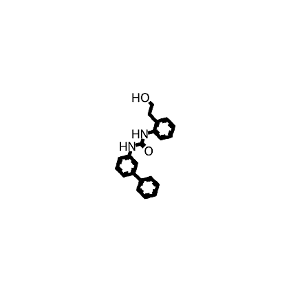 O=C(Nc1cccc(-c2ccccc2)c1)Nc1ccccc1CCO